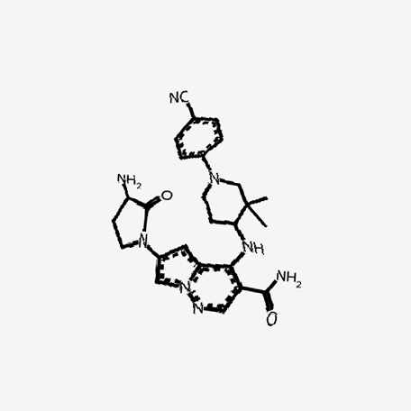 CC1(C)CN(c2ccc(C#N)cc2)CCC1Nc1c(C(N)=O)cnn2cc(N3CCC(N)C3=O)cc12